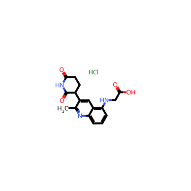 Cc1nc2cccc(NCC(=O)O)c2cc1C1CCC(=O)NC1=O.Cl